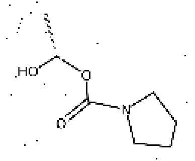 C[C@@H](O)OC(=O)N1CCCC1